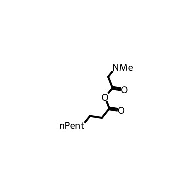 CCCCCCCC(=O)OC(=O)CNC